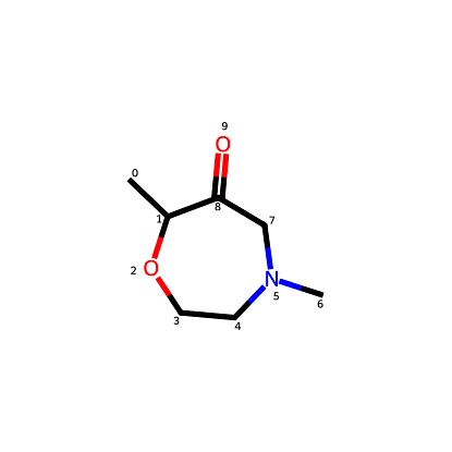 CC1OCCN(C)CC1=O